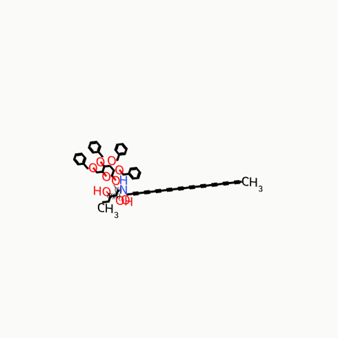 CC#CC#CC#CC#CC#CC#CC#CC#CC#CC#CC(=O)N[C@@H](COC1OC(COCc2ccccc2)C(OCc2ccccc2)C(OCc2ccccc2)C1OCc1ccccc1)[C@H](O)[C@H](O)CCC